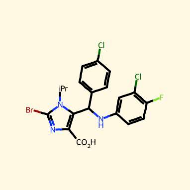 CC(C)n1c(Br)nc(C(=O)O)c1C(Nc1ccc(F)c(Cl)c1)c1ccc(Cl)cc1